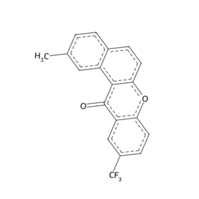 Cc1ccc2ccc3oc4ccc(C(F)(F)F)cc4c(=O)c3c2c1